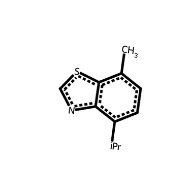 Cc1ccc(C(C)C)c2ncsc12